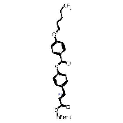 [CH2]CCCCOC(=O)/C=C/c1ccc(OC(=O)c2ccc(OCCCCC(F)(F)F)cc2)cc1